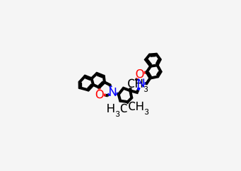 CC1(C)CC(N2COc3c(ccc4ccccc34)C2)CC(C)(CN2COc3c(ccc4ccccc34)C2)C1